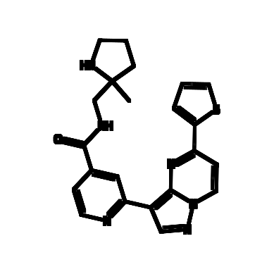 CC1(CNC(=O)c2ccnc(-c3cnn4ccc(-c5cccs5)nc34)c2)CCCN1